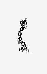 CN(C)C(=O)c1cc2cnc(Nc3ccc(N4CCN(Cc5ccc6c(c5)C(=O)N(C5CCC(=O)NC5=O)C6=O)CC4)cn3)nc2n1C1CCCC1